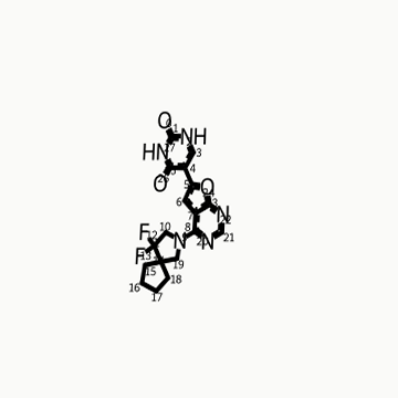 O=c1[nH]cc(-c2cc3c(N4CC(F)(F)C5(CCCC5)C4)ncnc3o2)c(=O)[nH]1